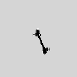 O=C(CCCCCCCCC#CCCCCCCCCC(=O)NC(F)(F)C(F)(F)C(F)(F)C(F)(F)F)NC(F)(F)C(F)(F)C(F)(F)C(F)(F)F